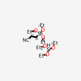 CCO[SiH](OCC)OCC.CCO[Si](CCC#N)(OCC)OCC